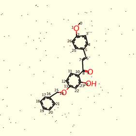 COc1ccc(C=CC(=O)c2ccc(OCc3ccccc3)cc2O)cc1